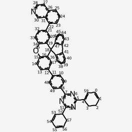 C1=CCCC(c2nc(-c3ccc(-c4ccc5c(c4)C4(c6cc(-c7cccc8ccncc78)ccc6O5)c5ccccc5-c5ccccc54)cc3)nc(C3C=CC=CC3)n2)=C1